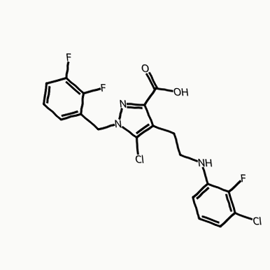 O=C(O)c1nn(Cc2cccc(F)c2F)c(Cl)c1CCNc1cccc(Cl)c1F